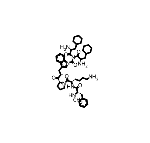 CN[C@@H](Cc1ccccc1)C(=O)N[C@@H](CCCCN)C(=O)N1CCC[C@H]1C(=O)[CH]Cc1cn(C(=O)N(C(=O)[C@H](N)CC2CCCCC2)C(=O)[C@@H](N)CC2CCCCC2)c2ccccc12